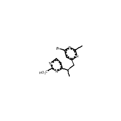 Cc1nc(CC(C)c2ccnc(C(=O)O)n2)cc(C(C)C)n1